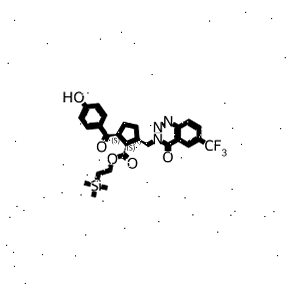 C[Si](C)(C)CCOC(=O)[C@H]1[C@H](Cn2nnc3ccc(C(F)(F)F)cc3c2=O)CC[C@@H]1C(=O)c1ccc(O)cc1